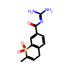 CC1=CCc2ccc(C(=O)N=C(N)N)cc2S1(=O)=O